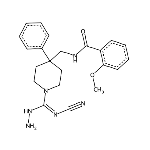 COc1ccccc1C(=O)NCC1(c2ccccc2)CCN(/C(=N\C#N)NN)CC1